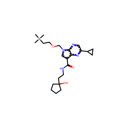 C[Si](C)(C)CCOCn1cc(C(=O)NCCC2(O)CCCC2)c2nc(C3CC3)cnc21